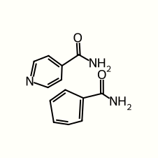 NC(=O)c1ccccc1.NC(=O)c1ccncc1